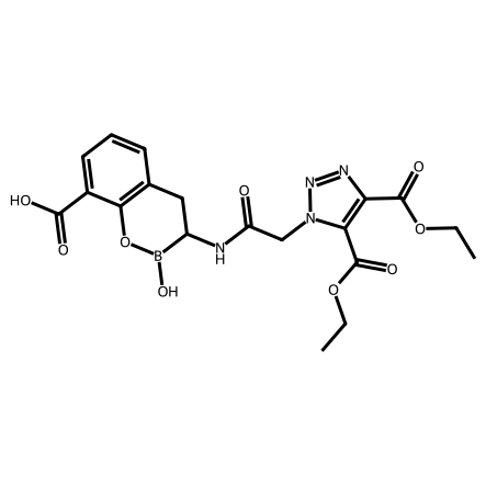 CCOC(=O)c1nnn(CC(=O)NC2Cc3cccc(C(=O)O)c3OB2O)c1C(=O)OCC